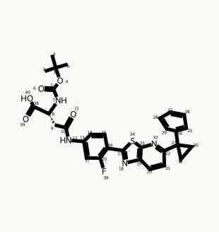 CC(C)(C)OC(=O)N[C@H](CC(=O)Nc1ccc(-c2nc3ccc(C4(c5ccccc5)CC4)nc3s2)c(F)c1)C(=O)O